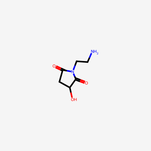 NCCN1C(=O)CC(O)C1=O